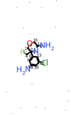 NC1=NC(CF)(c2cc(N)cc(Cl)c2)COC1